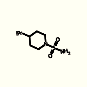 CC(C)C1CCN(S(N)(=O)=O)CC1